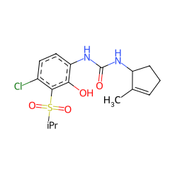 CC1=CCCC1NC(=O)Nc1ccc(Cl)c(S(=O)(=O)C(C)C)c1O